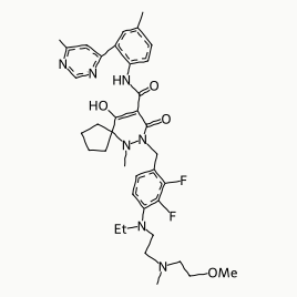 CCN(CCN(C)CCOC)c1ccc(CN2C(=O)C(C(=O)Nc3ccc(C)cc3-c3cc(C)ncn3)=C(O)C3(CCCC3)N2C)c(F)c1F